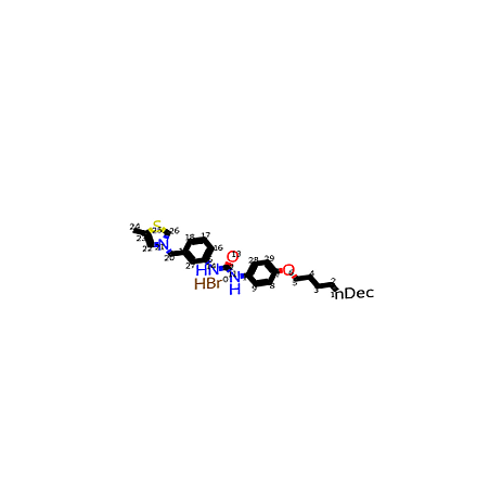 Br.CCCCCCCCCCCCCCOc1ccc(NC(=O)Nc2cccc(CN3C=C(C)SC3)c2)cc1